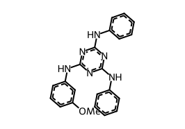 COc1cccc(Nc2nc(Nc3ccccc3)nc(Nc3ccccc3)n2)c1